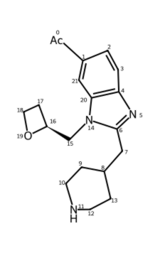 CC(=O)c1ccc2nc(CC3CCNCC3)n(C[C@@H]3CCO3)c2c1